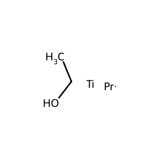 CCO.[Pr].[Ti]